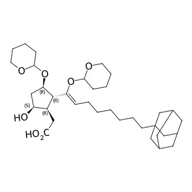 O=C(O)C[C@@H]1[C@@H](C(=CCCCCCCC23CC4CC(CC(C4)C2)C3)OC2CCCCO2)[C@H](OC2CCCCO2)C[C@@H]1O